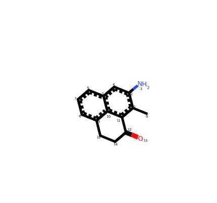 Cc1c(N)cc2cccc3c2c1C(=O)CC3